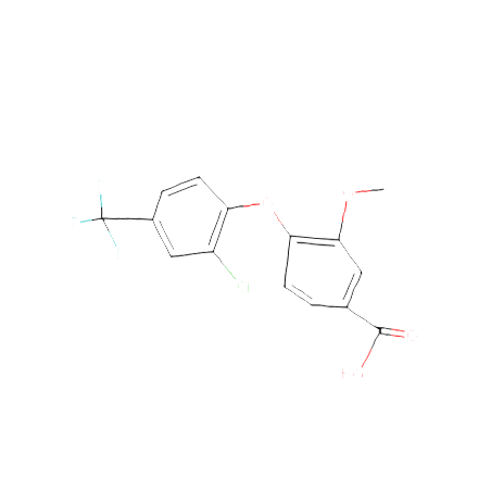 COc1cc(C(=O)O)ccc1Oc1ccc(C(F)(F)F)cc1Cl